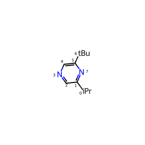 CC(C)c1cncc(C(C)(C)C)n1